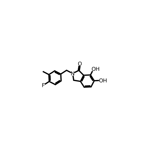 Cc1cc(CN2Cc3ccc(O)c(O)c3C2=O)ccc1F